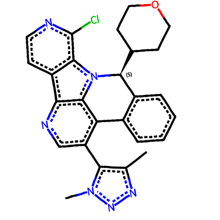 Cc1nnn(C)c1-c1cnc2c3ccnc(Cl)c3n3c2c1-c1ccccc1[C@@H]3C1CCOCC1